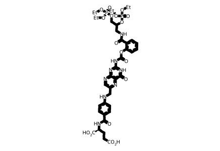 CCOP(=O)(OCC)OCC(CNC(=O)c1ccccc1OC(=O)Nc1nc2ncc(CNc3ccc(C(=O)N[C@@H](CCC(=O)O)C(=O)O)cc3)nc2c(=O)[nH]1)OP(=O)(OCC)OCC